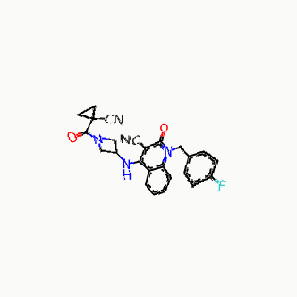 N#Cc1c(NC2CN(C(=O)C3(C#N)CC3)C2)c2ccccc2n(Cc2ccc(F)cc2)c1=O